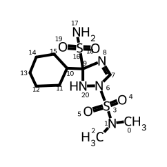 CN(C)S(=O)(=O)N1C=NC(C2CCCCC2)(S(N)(=O)=O)N1